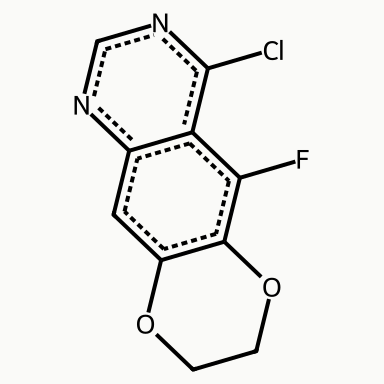 Fc1c2c(cc3ncnc(Cl)c13)OCCO2